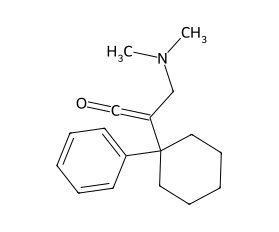 CN(C)CC(=C=O)C1(c2ccccc2)CCCCC1